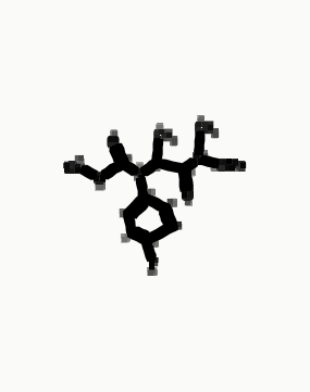 CON(C)C(=O)C(C)N(C(=O)OC(C)(C)C)c1ccc(F)cc1